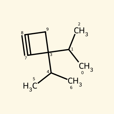 CC(C)C1(C(C)C)C#CC1